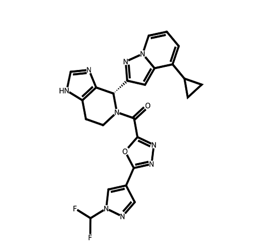 O=C(c1nnc(-c2cnn(C(F)F)c2)o1)N1CCc2[nH]cnc2[C@@H]1c1cc2c(C3CC3)cccn2n1